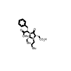 COC(=O)[C@H](Cc1ccccc1)N1C(=O)[C@H](CC(=O)O)N(CCC(C)(C)C)[C@@H]1CC(C)(C)C